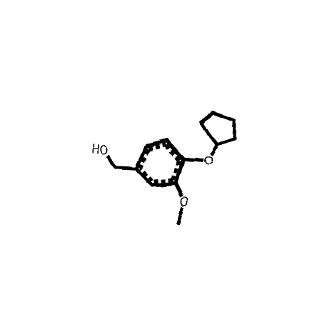 COc1cc(CO)ccc1OC1CCCC1